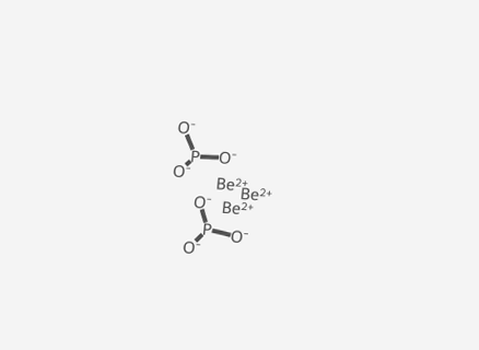 [Be+2].[Be+2].[Be+2].[O-]P([O-])[O-].[O-]P([O-])[O-]